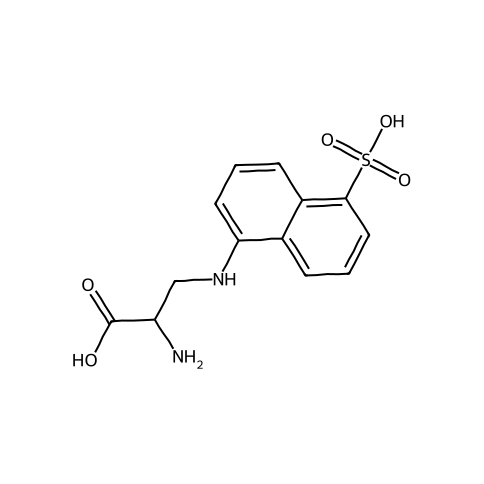 NC(CNc1cccc2c(S(=O)(=O)O)cccc12)C(=O)O